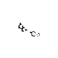 C=S(C)(=O)N1CCC(=NOc2nc3oc(=O)cc(CC)c3c(=O)[nH]2)CC1